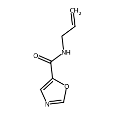 C=CCNC(=O)c1cnco1